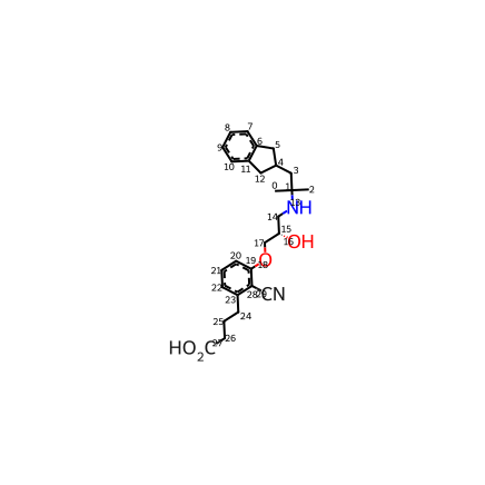 CC(C)(CC1Cc2ccccc2C1)NC[C@H](O)COc1cccc(CCCC(=O)O)c1C#N